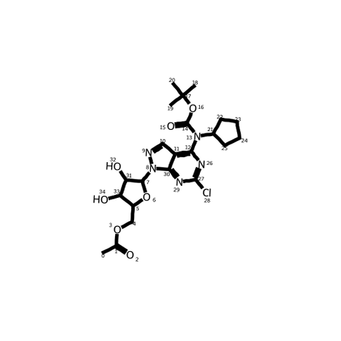 CC(=O)OCC1OC(n2ncc3c(N(C(=O)OC(C)(C)C)C4CCCC4)nc(Cl)nc32)C(O)C1O